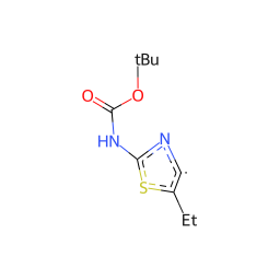 CCc1[c]nc(NC(=O)OC(C)(C)C)s1